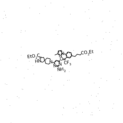 CCOC(=O)CCCc1ccc(-n2ccc(C)n2)c([C@@H](Oc2cc(N3CCC4(CC3)CN[C@H](C(=O)OCC)C4)nc(N)n2)C(F)(F)F)c1